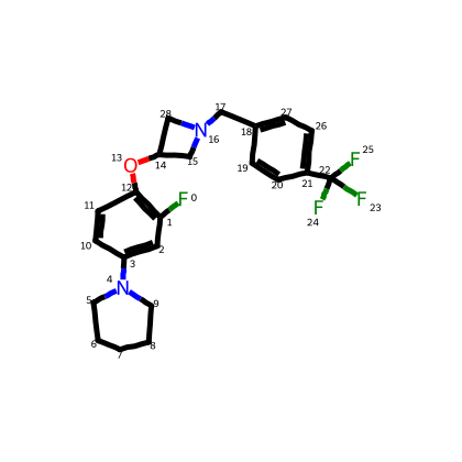 Fc1cc(N2CCCCC2)ccc1OC1CN(Cc2ccc(C(F)(F)F)cc2)C1